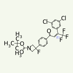 CC(C)(C)OC(=O)N1CC(F)(c2ccc(C(=O)/C=C(\c3cc(Cl)cc(Cl)c3)C(F)(F)F)cc2)C1